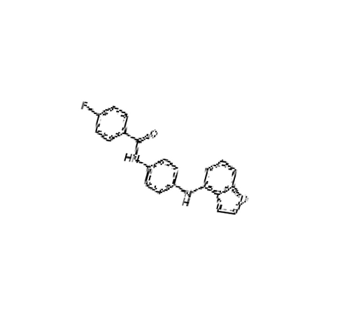 O=C(Nc1ccc(Nc2cccc3occc23)cc1)c1ccc(F)cc1